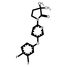 CC1(C)CCN(c2ccc(Oc3ccc(F)c(F)c3)cn2)C1=O